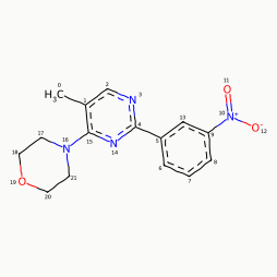 Cc1cnc(-c2cccc([N+](=O)[O-])c2)nc1N1CCOCC1